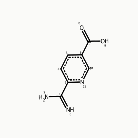 N=C(N)c1ccc(C(=O)O)cn1